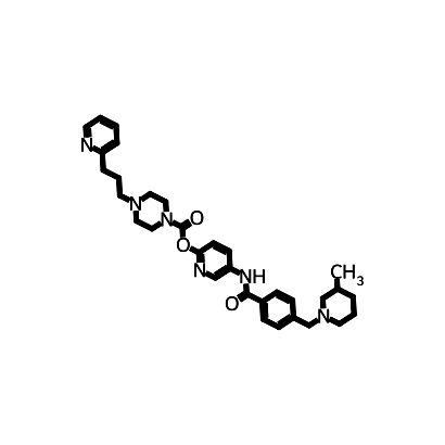 CC1CCCN(Cc2ccc(C(=O)Nc3ccc(OC(=O)N4CCN(CCCc5ccccn5)CC4)nc3)cc2)C1